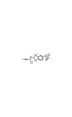 CC#CC(Cl)OC1Oc2ccc(OS(C)(=O)=O)cc2C1(C)C